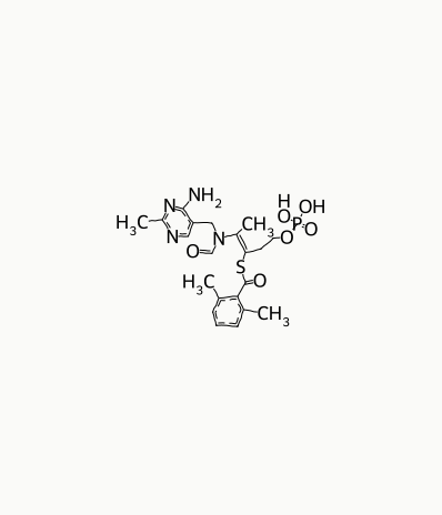 C/C(=C(\CCOP(=O)(O)O)SC(=O)c1c(C)cccc1C)N(C=O)Cc1cnc(C)nc1N